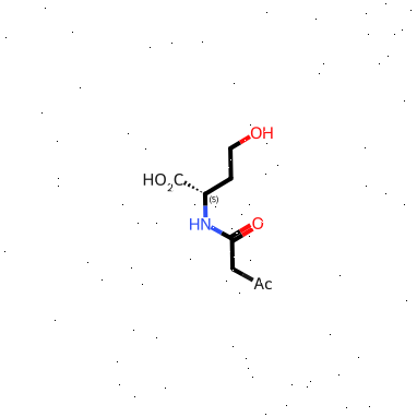 CC(=O)CC(=O)N[C@@H](CCO)C(=O)O